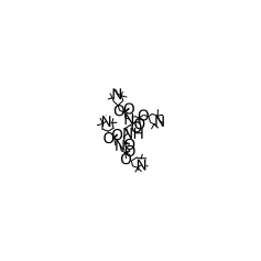 CN1C(C)(C)CC(OC(=O)CN(CC(=O)OC2CC(C)(C)N(C)C(C)(C)C2)C(=O)CNCC(=O)N(CC(=O)OC2CC(C)(C)N(C)C(C)(C)C2)CC(=O)OC2CC(C)(C)N(C)C(C)(C)C2)CC1(C)C